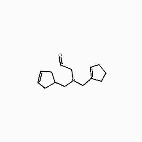 O=CCN(CC1=CCCC1)CC1CC=CC1